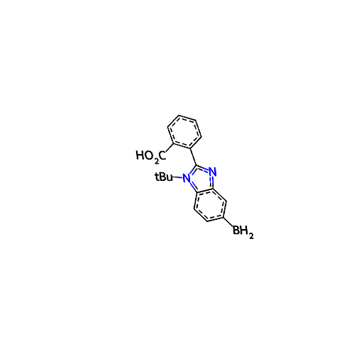 Bc1ccc2c(c1)nc(-c1ccccc1C(=O)O)n2C(C)(C)C